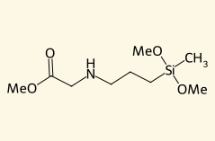 COC(=O)CNCCC[Si](C)(OC)OC